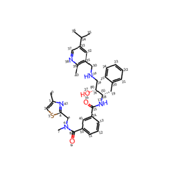 Cc1csc(CN(C)C(=O)c2cccc(C(=O)N[C@@H](Cc3ccccc3)[C@H](O)CNCc3cc(C(C)C)cnc3C)c2)n1